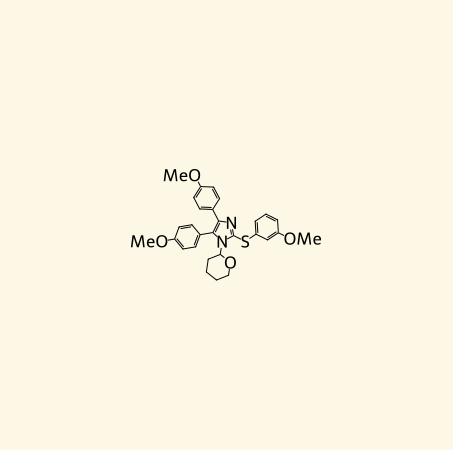 COc1ccc(-c2nc(Sc3cccc(OC)c3)n(C3CCCCO3)c2-c2ccc(OC)cc2)cc1